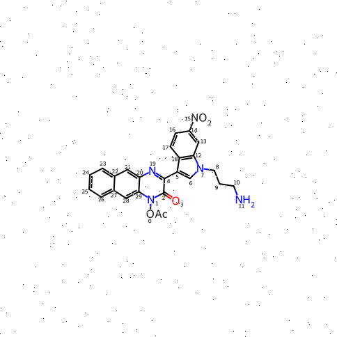 CC(=O)On1c(=O)c(-c2cn(CCCN)c3cc([N+](=O)[O-])ccc23)nc2cc3ccccc3cc21